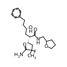 CC(F)(CC[C@H](C[C@@H](O)[CH]Cc1ccccc1)C(=O)NCC1CCCO1)C(N)=O